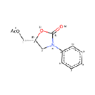 CC(=O)OC[C@H]1CN(c2ccccc2)C(=O)O1